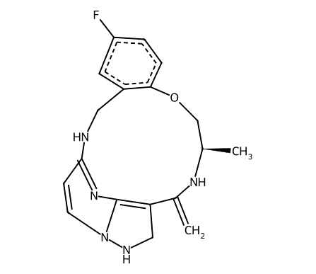 C=C1N[C@H](C)COc2ccc(F)cc2CNC2=NC3=C1CNN3C=C2